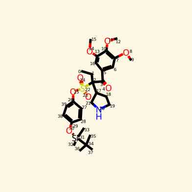 CCC(C(=O)c1cc(OC)c(OC)c(OC)c1)(C1CCNC1)S(=O)(=O)Oc1ccc(O[Si](C)(C)C(C)(C)C)cc1